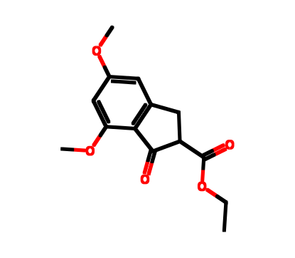 CCOC(=O)C1Cc2cc(OC)cc(OC)c2C1=O